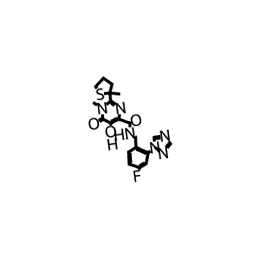 Cn1c(C2(C)CCCS2)nc(C(=O)NCc2ccc(F)cc2-n2cncn2)c(O)c1=O